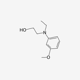 CCN(CCO)c1cccc(OC)c1